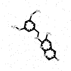 COc1cc(CNc2nc3ncc(Br)cc3cc2C)cc(OC)c1